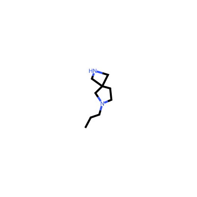 CCCN1CCC2(CNC2)C1